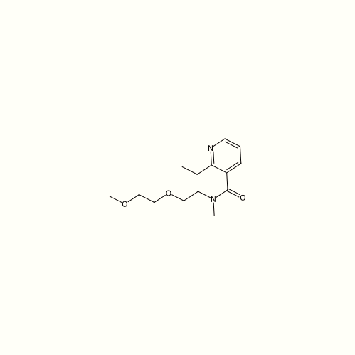 CCc1ncccc1C(=O)N(C)CCOCCOC